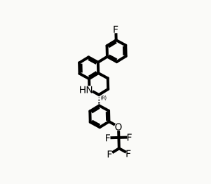 Fc1cccc(-c2cccc3c2CC[C@H](c2cccc(OC(F)(F)C(F)F)c2)N3)c1